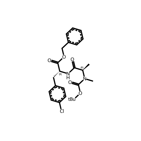 C[C@H](C(=O)N[C@H](Cc1ccc(Cl)cc1)C(=O)OCc1ccccc1)N(C)C(=O)OC(C)(C)C